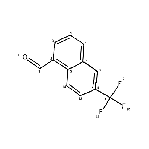 O=Cc1cccc2cc(C(F)(F)F)ccc12